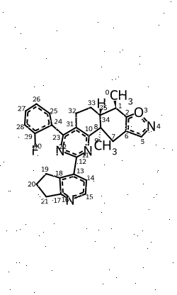 C[C@H]1c2oncc2C[C@@]2(C)c3nc(-c4ccnc5c4CCC5)nc(-c4ccccc4F)c3CC[C@H]12